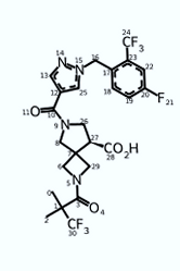 CC(C)(C(=O)N1CC2(CN(C(=O)c3cnn(Cc4ccc(F)cc4C(F)(F)F)c3)C[C@H]2C(=O)O)C1)C(F)(F)F